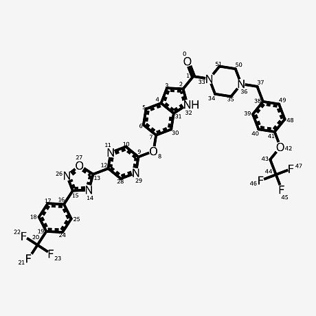 O=C(c1cc2ccc(Oc3cnc(-c4nc(-c5ccc(C(F)(F)F)cc5)no4)cn3)cc2[nH]1)N1CCN(Cc2ccc(OCC(F)(F)F)cc2)CC1